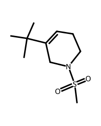 CC(C)(C)C1=CCCN(S(C)(=O)=O)C1